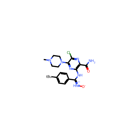 CN1CCN(c2nc(N/C(=[NH+]\[O-])c3ccc(C(C)(C)C)cc3)c(C(N)=O)nc2Cl)CC1